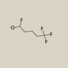 [O]C(F)CCCC(F)(F)F